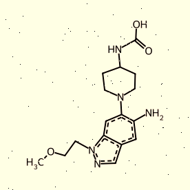 COCCn1ncc2cc(N)c(N3CCC(NC(=O)O)CC3)cc21